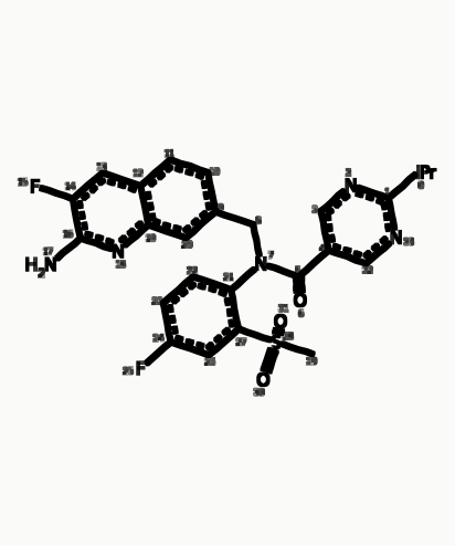 CC(C)c1ncc(C(=O)N(Cc2ccc3cc(F)c(N)nc3c2)c2ccc(F)cc2S(C)(=O)=O)cn1